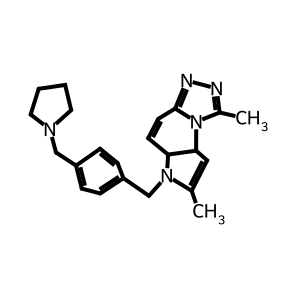 CC1=CC2C(C=Cc3nnc(C)n32)N1Cc1ccc(CN2CCCC2)cc1